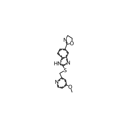 COc1ccnc(CSc2nc3cc(C4=NCCO4)ccc3[nH]2)c1